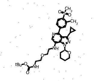 Cc1cc(-c2ncc(NCCOCCNC(=O)OC(C)(C)C)c3c2c(C2CC2)nn3C2CCCCO2)ccc1S(C)(=O)=O